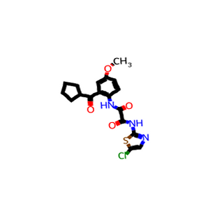 COc1ccc(NC(=O)C(=O)Nc2ncc(Cl)s2)c(C(=O)C2CCCC2)c1